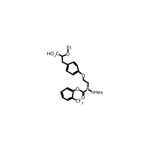 CCCCCCN(CCOc1ccc(CC(OCC)C(=O)O)cc1)C(=O)Oc1ccccc1C(F)(F)F